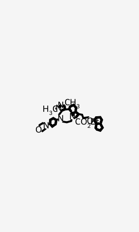 CCOC(=O)c1c(CCCOc2cccc3ccccc23)c2cccc3c2n1CCCN(c1ccc(N2CCOCC2)cc1)Cc1c-3c(C)nn1C